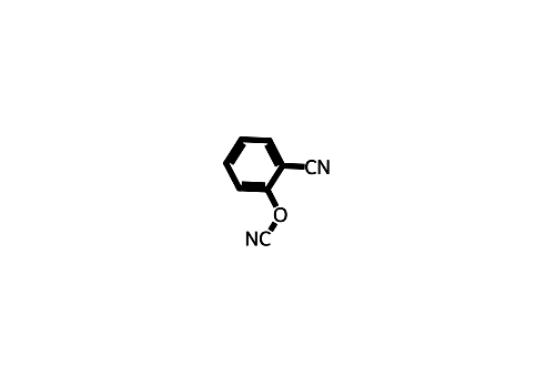 N#COc1ccccc1C#N